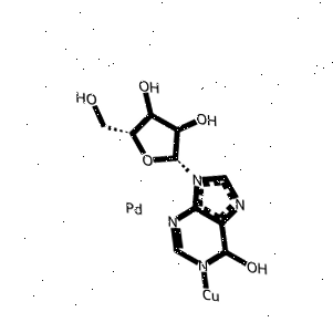 OC[C@H]1O[C@@H](n2cnc3c2N=C[N]([Cu])C3O)C(O)C1O.[Pd]